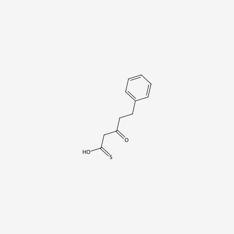 O=C(CCc1ccccc1)CC(O)=S